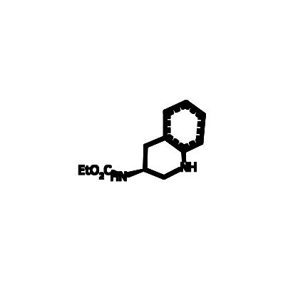 CCOC(=O)N[C@@H]1CNc2ccccc2C1